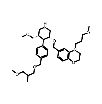 COCCCN1CCOc2ccc(CO[C@H]3CNC[C@@H](COC)[C@@H]3c3ccc(COCC(C)COC)cc3)cc21